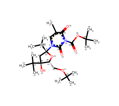 Cc1cn([C@@]2([SiH](C)C)C[C@@](O)(C(C)(C)C)[C@@H](COC(C)(C)C)O2)c(=O)n(C(=O)OC(C)(C)C)c1=O